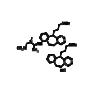 CCOC(=O)CN(C)C(=N)N.CNCCCC1c2ccccc2C=Cc2ccccc21.CNCCCC1c2ccccc2C=Cc2ccccc21.Cl